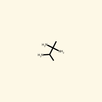 CC(N)C(C)(N)N